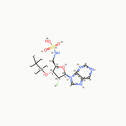 CC(C)(C)[Si](C)(C)O[C@H]1[C@@H](F)[C@H](n2cnc3cncnc32)O[C@@H]1CNS(=O)(=O)O